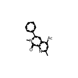 CC(=O)c1cc(C)nc2c(=O)n(C)c(-c3ccccc3)cc12